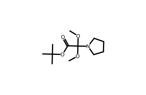 COC(OC)(C(=O)OC(C)(C)C)N1CCCC1